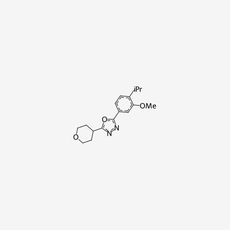 COc1cc(-c2nnc(C3CCOCC3)o2)ccc1C(C)C